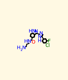 NCCCNC(=O)c1ccc2[nH]nc(-c3ncc(-c4ccc(Cl)c(F)c4)[nH]3)c2c1